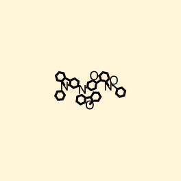 c1ccc(-c2nc3c(ccc4oc5cc(N(c6ccc7c8ccccc8n(-c8ccccc8)c7c6)c6cccc7oc8ccccc8c67)ccc5c43)o2)cc1